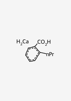 CCCc1ccccc1C(=O)O.[CaH2]